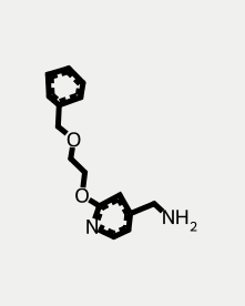 NCc1ccnc(OCCOCc2ccccc2)c1